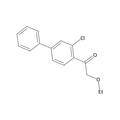 CCOCC(=O)c1ccc(-c2ccccc2)cc1Cl